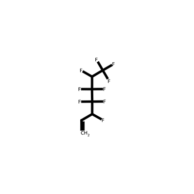 C=CC(F)C(F)(F)C(F)(F)C(F)C(F)(F)F